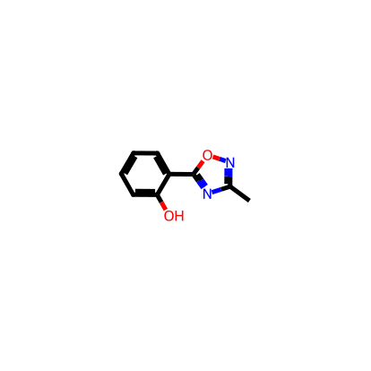 Cc1noc(-c2ccccc2O)n1